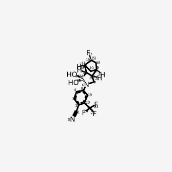 N#Cc1ccc(N2C[C@H]3[C@@H]4C[C@H]([C@H]3S2(O)O)[C@@H](F)C4)cc1C(F)(F)F